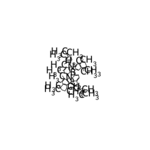 Cc1cc2c3c(c1)N(c1cc4c(cc1C)C(C)(C)CCC4(C)C)c1c(ccc4c1sc1ccc(C(C)(C)C)cc14)B3c1cc3c(cc1N2c1ccc(C(C)(C)C)cc1C)C(C)(C)CCC3(C)C